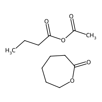 CCCC(=O)OC(C)=O.O=C1CCCCCO1